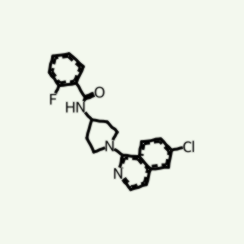 O=C(NC1CCN(c2nccc3cc(Cl)ccc23)CC1)c1ccccc1F